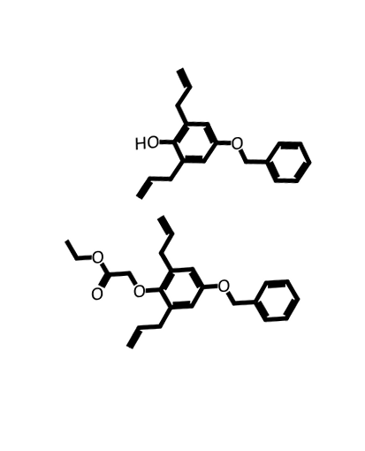 C=CCc1cc(OCc2ccccc2)cc(CC=C)c1O.C=CCc1cc(OCc2ccccc2)cc(CC=C)c1OCC(=O)OCC